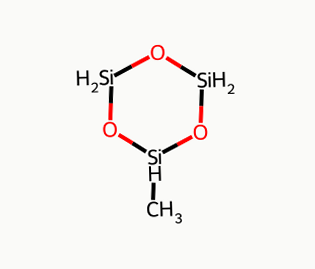 C[SiH]1O[SiH2]O[SiH2]O1